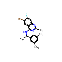 Cc1nc(N[C@H](C)c2cc([N+](=O)[O-])cc(C(F)(F)F)c2)c2cc(Br)c(F)cc2n1